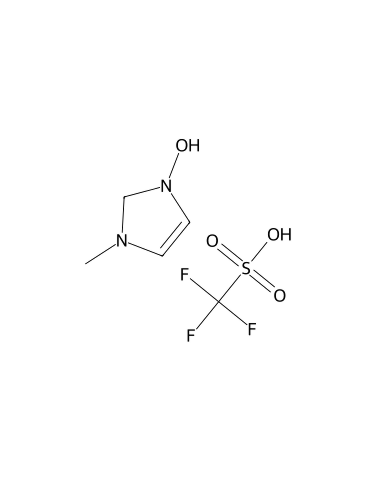 CN1C=CN(O)C1.O=S(=O)(O)C(F)(F)F